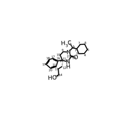 C[C@@H](C1CCCCC1)N1CC[C@](CCCO)(c2ccccc2)NC1=O